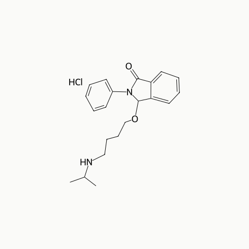 CC(C)NCCCCOC1c2ccccc2C(=O)N1c1ccccc1.Cl